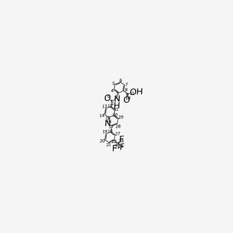 O=C(Nc1ccccc1C(=O)O)c1ccc2nc(-c3cccc(C(F)(F)F)c3)ccc2c1